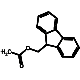 [CH2]C(=O)OCC1c2ccccc2-c2ccccc21